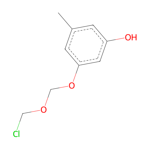 Cc1cc(O)cc(OCOCCl)c1